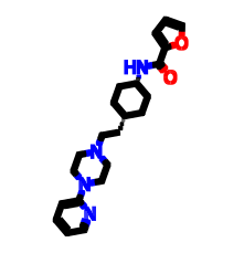 O=C(N[C@H]1CC[C@@H](CCN2CCN(c3ccccn3)CC2)CC1)c1ccco1